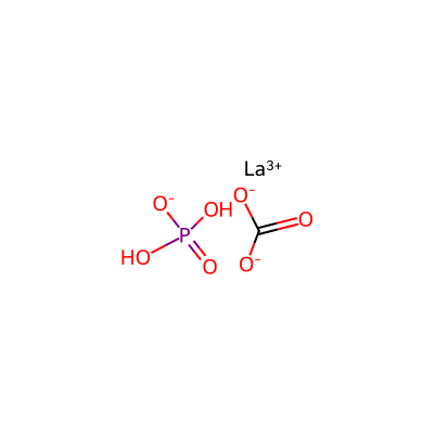 O=C([O-])[O-].O=P([O-])(O)O.[La+3]